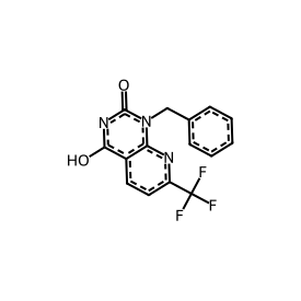 O=c1nc(O)c2ccc(C(F)(F)F)nc2n1Cc1ccccc1